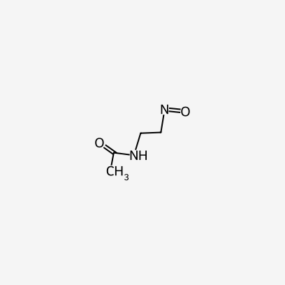 CC(=O)NCCN=O